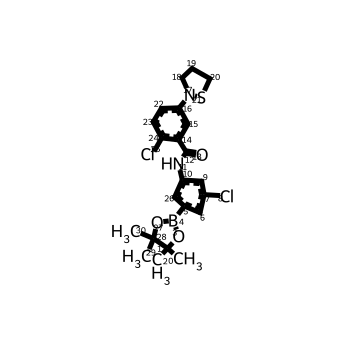 CC1(C)OB(c2cc(Cl)cc(NC(=O)c3cc(N4CCCS4)ccc3Cl)c2)OC1(C)C